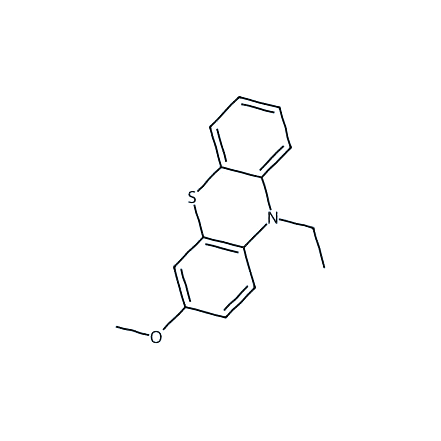 CCN1c2ccccc2Sc2cc(OC)ccc21